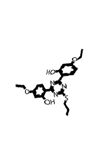 CCCSc1nc(-c2ccc(OCC)cc2O)nc(-c2ccc(OCC)cc2O)n1